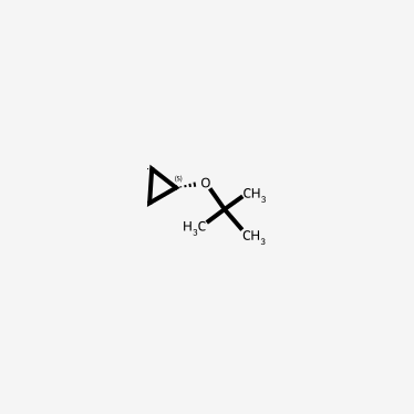 CC(C)(C)O[C@H]1[CH]C1